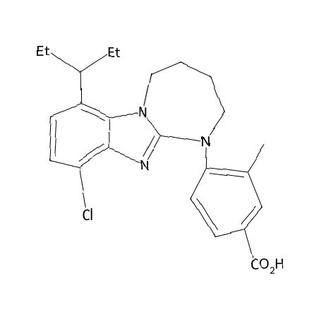 CCC(CC)c1ccc(Cl)c2nc3n(c12)CCCCN3c1ccc(C(=O)O)cc1C